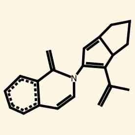 C=C(C)C1=C(N2C=Cc3ccccc3C2=C)C=C2CCCC21